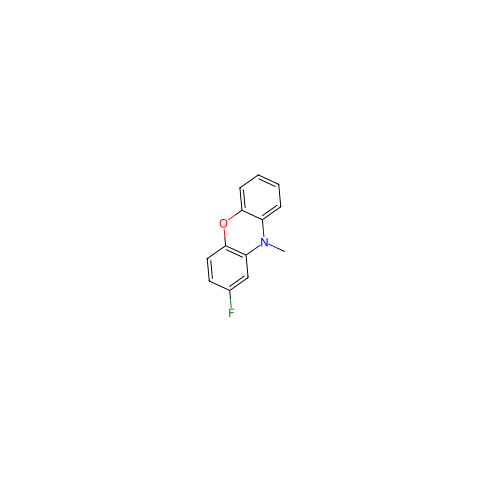 CN1c2ccccc2Oc2ccc(F)cc21